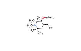 CCCCCOC1C(CC(C)C)CC(C)(C)N(C)C1(C)C